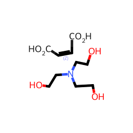 O=C(O)/C=C\C(=O)O.OCCN(CCO)CCO